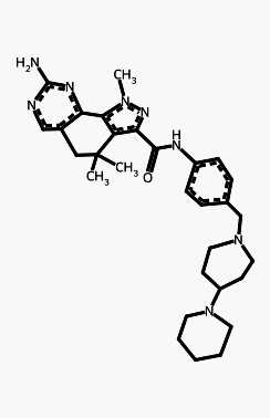 Cn1nc(C(=O)Nc2ccc(CN3CCC(N4CCCCC4)CC3)cc2)c2c1-c1nc(N)ncc1CC2(C)C